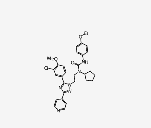 CCOc1ccc(NC(=O)N(CCn2nc(-c3ccncc3)nc2-c2ccc(OC)c(Cl)c2)C2CCCC2)cc1